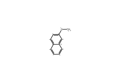 COc1ccc2ccc[c]c2c1